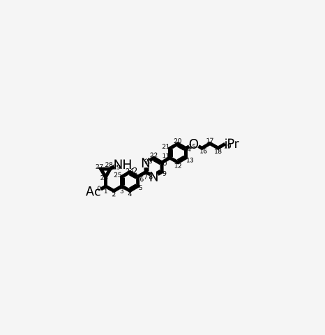 CC(=O)C(Cc1ccc(-c2ncc(-c3ccc(OCCCC(C)C)cc3)cn2)cc1)C1CC1N